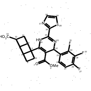 COC(=O)C1=C(C23C4C5C2C2C3C4C52C(=O)O)NC(c2nccs2)=NC1c1ccc(F)c(F)c1F